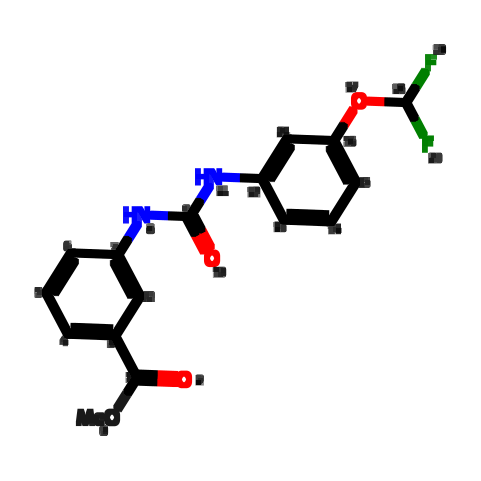 COC(=O)c1cccc(NC(=O)Nc2cccc(OC(F)F)c2)c1